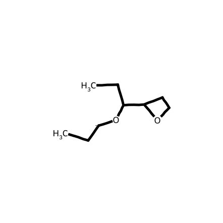 CC[CH]OC(CC)C1CCO1